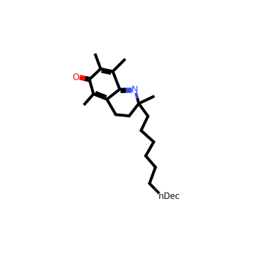 CCCCCCCCCCCCCCCCC1(C)CCC2=C(C)C(=O)C(C)=C(C)C2=N1